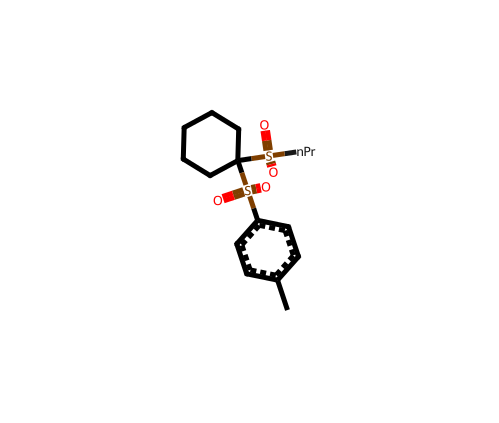 CCCS(=O)(=O)C1(S(=O)(=O)c2ccc(C)cc2)CCCCC1